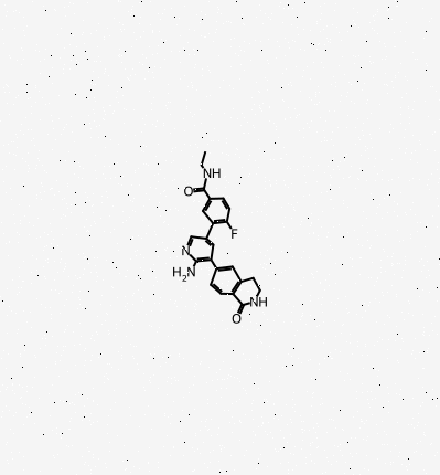 CCNC(=O)c1ccc(F)c(-c2cnc(N)c(-c3ccc4c(c3)CCNC4=O)c2)c1